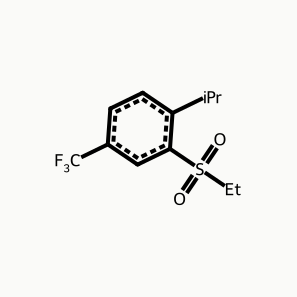 CCS(=O)(=O)c1cc(C(F)(F)F)ccc1C(C)C